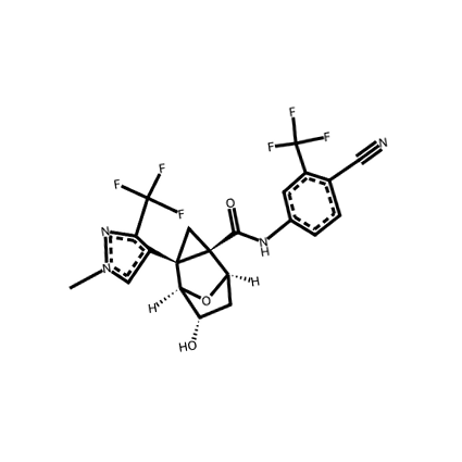 Cn1cc([C@@]23C[C@]2(C(=O)Nc2ccc(C#N)c(C(F)(F)F)c2)[C@H]2C[C@H](O)[C@@H]3O2)c(C(F)(F)F)n1